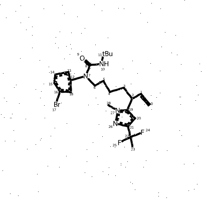 C=CC(CCCCN(C(=O)NC(C)(C)C)c1cccc(Br)c1)c1cc(C(C)(F)F)nn1C